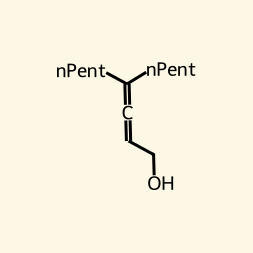 CCCCCC(=C=CCO)CCCCC